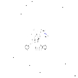 CC(C)[C@H](NC(=O)[C@H](CCC(=O)O)NC(=O)[C@H](Cc1c[nH]c2ccccc12)NC(=O)OCc1ccccc1)C(=O)N[C@H](/C=C/S(C)(=O)=O)CC(=O)O